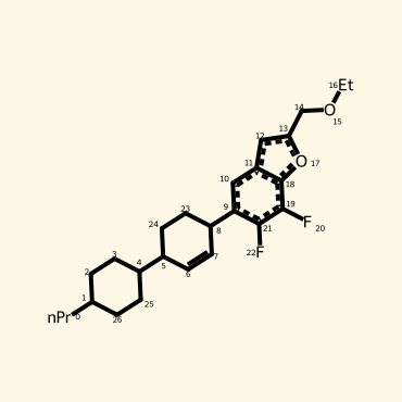 CCCC1CCC(C2C=CC(c3cc4cc(COCC)oc4c(F)c3F)CC2)CC1